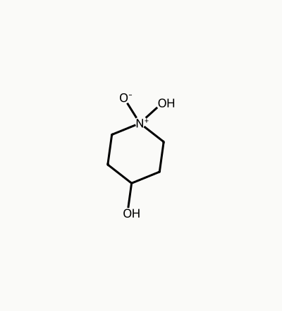 [O-][N+]1(O)CCC(O)CC1